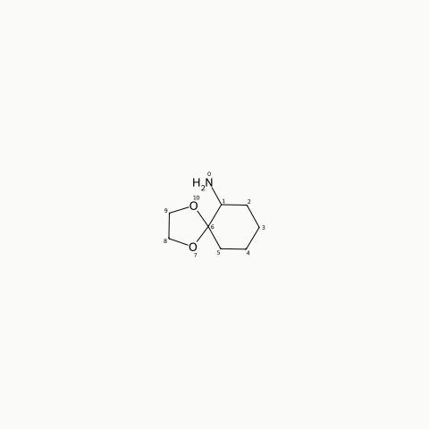 NC1CCCCC12OCCO2